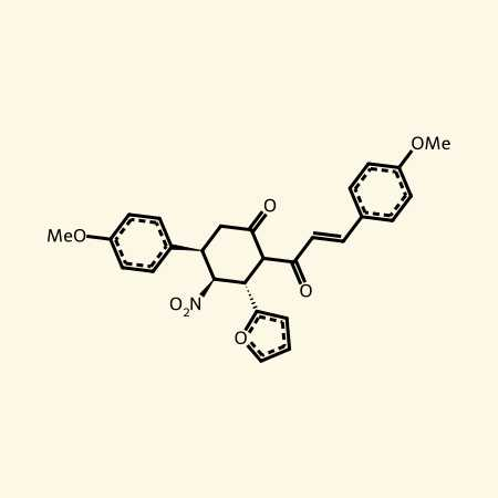 COc1ccc(/C=C/C(=O)C2C(=O)C[C@H](c3ccc(OC)cc3)[C@H]([N+](=O)[O-])[C@H]2c2ccco2)cc1